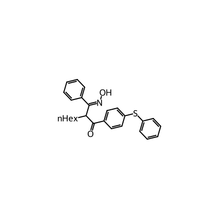 CCCCCCC(C(=O)c1ccc(Sc2ccccc2)cc1)C(=NO)c1ccccc1